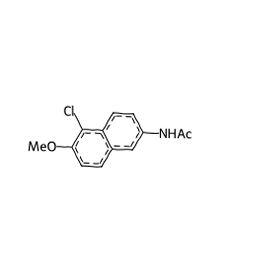 COc1ccc2cc(NC(C)=O)ccc2c1Cl